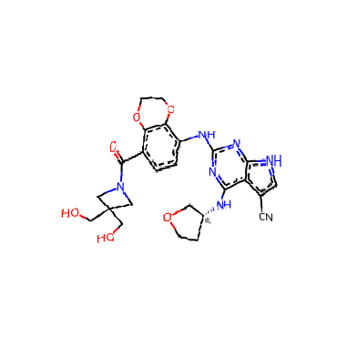 N#Cc1c[nH]c2nc(Nc3ccc(C(=O)N4CC(CO)(CO)C4)c4c3OCCO4)nc(N[C@@H]3CCOC3)c12